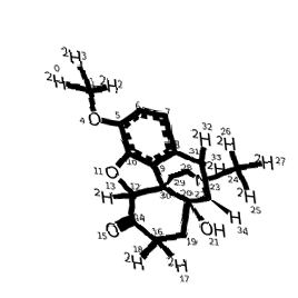 [2H]C([2H])([2H])Oc1ccc2c3c1OC1([2H])C(=O)C([2H])([2H])C[C@@]4(O)[C@H](N(C([2H])([2H])[2H])CC[C@]314)C2([2H])[2H]